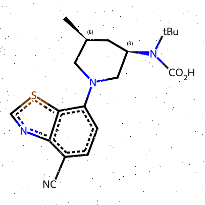 C[C@H]1C[C@@H](N(C(=O)O)C(C)(C)C)CN(c2ccc(C#N)c3ncsc23)C1